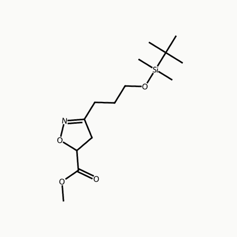 COC(=O)C1CC(CCCO[Si](C)(C)C(C)(C)C)=NO1